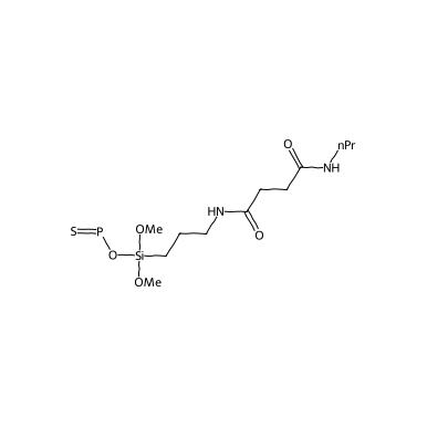 CCCNC(=O)CCC(=O)NCCC[Si](OC)(OC)OP=S